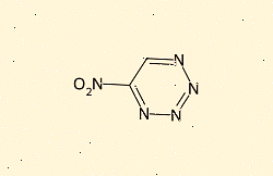 O=[N+]([O-])c1cnnnn1